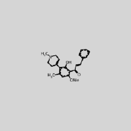 COc1cc(C)c(C2=CCN(C)CC2)c(O)c1C(=O)/C=C/c1ccccc1